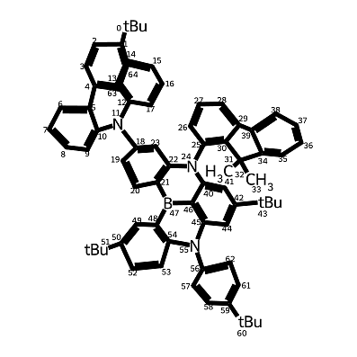 CC(C)(C)c1ccc(-c2ccccc2N(c2ccccc2)c2ccc3c(c2)N(c2cccc4c2C(C)(C)c2ccccc2-4)c2cc(C(C)(C)C)cc4c2B3c2cc(C(C)(C)C)ccc2N4c2ccc(C(C)(C)C)cc2)cc1